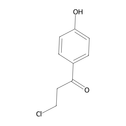 O=C(CCCl)c1ccc(O)cc1